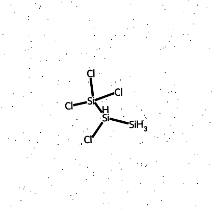 [SiH3][SiH](Cl)[Si](Cl)(Cl)Cl